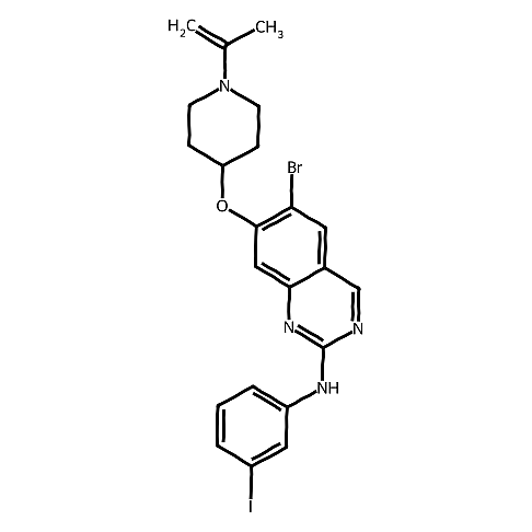 C=C(C)N1CCC(Oc2cc3nc(Nc4cccc(I)c4)ncc3cc2Br)CC1